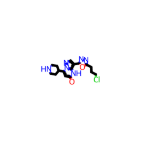 O=c1cc(C2CCNCC2)n2ncc(-c3nnc(CCCCl)o3)c2[nH]1